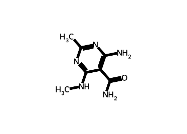 CNc1nc(C)nc(N)c1C(N)=O